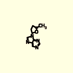 C[C@@H]1CCC(n2cnc3cncnc32)O1